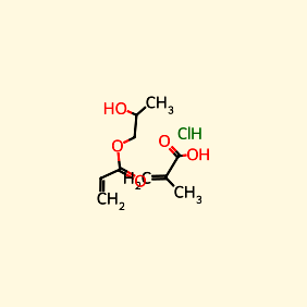 C=C(C)C(=O)O.C=CC(=O)OCC(C)O.Cl